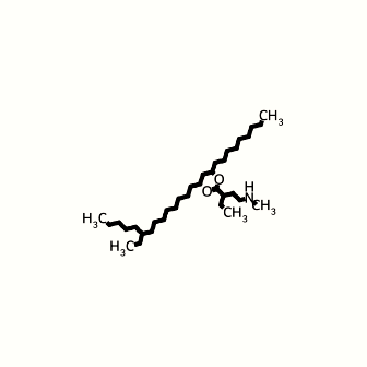 CCCCCCCCCC(CCCCCCCCCCC(CC)CCCCC)OC(=O)C(CC)CCNC